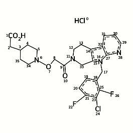 Cl.O=C(O)CC1CCN(OCC(=O)N2CCc3c(n(Cc4ccc(F)c(Cl)c4F)c4ncccc34)C2)CC1